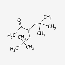 [CH2]C(=O)N(CC(C)(C)C)CC(C)(C)C